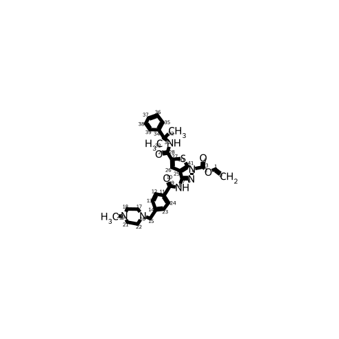 C=COC(=O)n1nc(NC(=O)c2ccc(CN3CCN(C)CC3)cc2)c2cc(C(=O)NC(C)(C)c3ccccc3)sc21